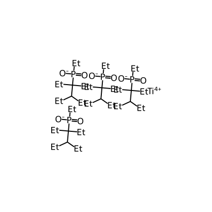 CCC(CC)C(CC)(CC)P(=O)([O-])CC.CCC(CC)C(CC)(CC)P(=O)([O-])CC.CCC(CC)C(CC)(CC)P(=O)([O-])CC.CCC(CC)C(CC)(CC)P(=O)([O-])CC.[Ti+4]